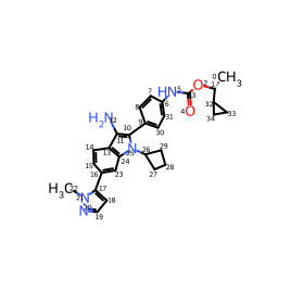 C[C@@H](OC(=O)Nc1ccc(-c2c(N)c3ccc(-c4ccnn4C)cc3n2C2CCC2)cc1)C1CC1